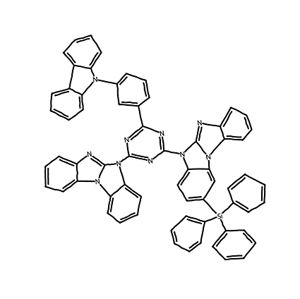 c1ccc([Si](c2ccccc2)(c2ccccc2)c2ccc3c(c2)n2c4ccccc4nc2n3-c2nc(-c3cccc(-n4c5ccccc5c5ccccc54)c3)nc(-n3c4ccccc4n4c5ccccc5nc34)n2)cc1